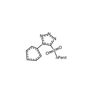 CCCCCS(=O)(=O)c1nnnn1-c1ccccc1